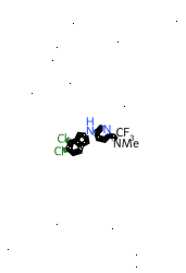 CN[C@@H](c1ccc(NC2Cc3ccc(Cl)c(Cl)c3C2)cn1)C(F)(F)F